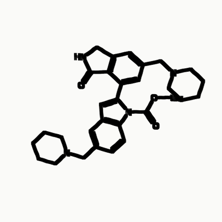 CC(C)(C)OC(=O)n1c(-c2cc(CN3CCCCC3)cc3c2C(=O)NC3)cc2cc(CN3CCCCC3)ccc21